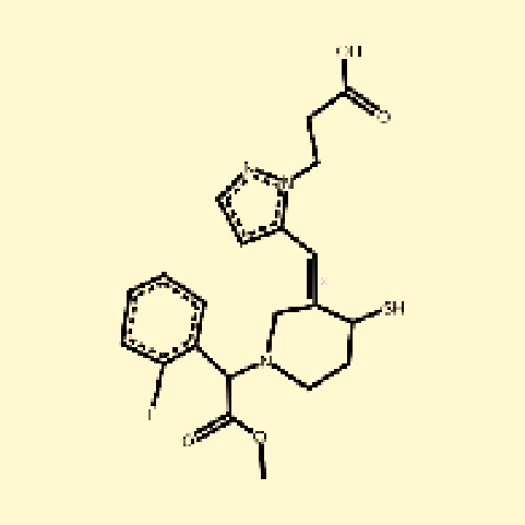 COC(=O)C(c1ccccc1F)N1CCC(S)/C(=C/c2ccnn2CCC(=O)O)C1